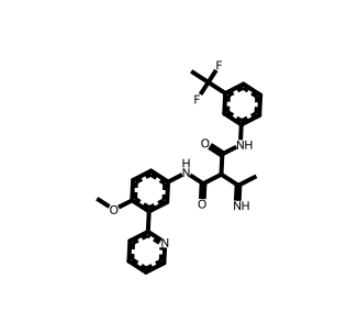 COc1ccc(NC(=O)C(C(C)=N)C(=O)Nc2cccc(C(C)(F)F)c2)cc1-c1ccccn1